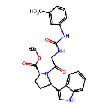 CC(C)(C)OC(=O)[C@@H]1CC[C@H](c2c[nH]c3ccccc23)N1C(=O)CNC(=O)Nc1cccc(C(=O)O)c1